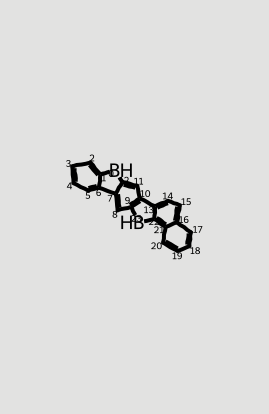 B1c2ccccc2-c2cc3c(cc21)-c1ccc2ccccc2c1B3